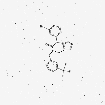 O=C1C(c2cccc(Br)c2)n2cncc2CN1Cc1cccc(C(F)(F)F)c1